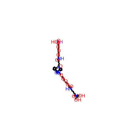 O=C(CCCCC(=O)N1Cc2ccccc2-c2nnn(CCOCCOCCOCCOCCC(=O)NCCCCCC(=O)N3C[C@H](O)C[C@H]3CO)c2-c2ccccc21)NCCOCCOCCOCCO[PH](=O)O